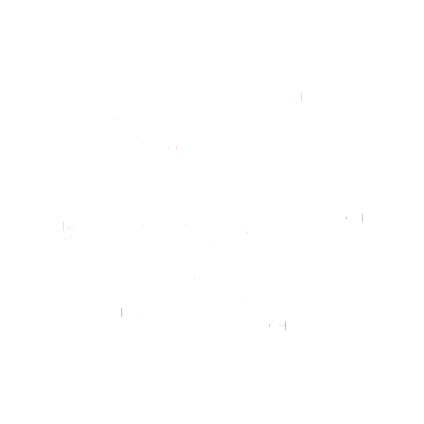 CCCc1c(CCC)c(CCC)c2c(c1CCC)Oc1cccc(Br)c1O2